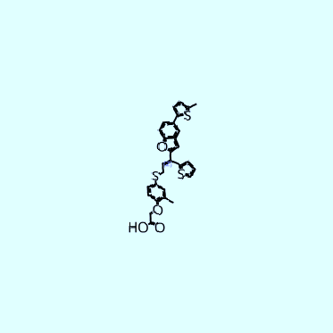 Cc1ccc(-c2ccc3oc(/C(=C/CSc4ccc(OCC(=O)O)c(C)c4)c4cccs4)cc3c2)s1